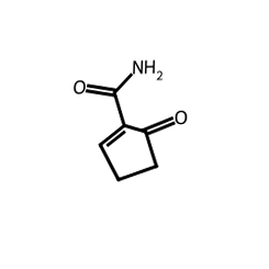 NC(=O)C1=CCCC1=O